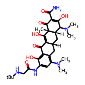 CN(C)c1cc(NC(=O)CNC(C)(C)C)c(O)c2c1C[C@H]1C[C@H]3C(N(C)C)C(O)=C(C(N)=O)C(=O)[C@@]3(C)C(O)=C1C2=O